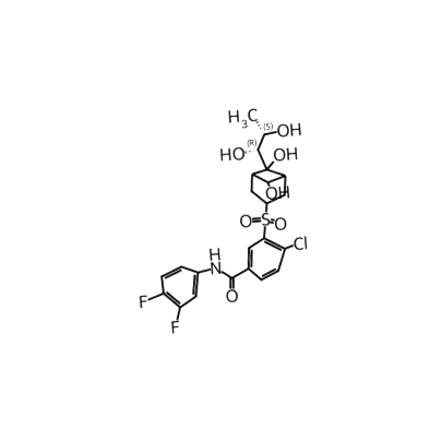 C[C@H](O)[C@@H](O)C1(O)C2CC(S(=O)(=O)c3cc(C(=O)Nc4ccc(F)c(F)c4)ccc3Cl)CC1C2O